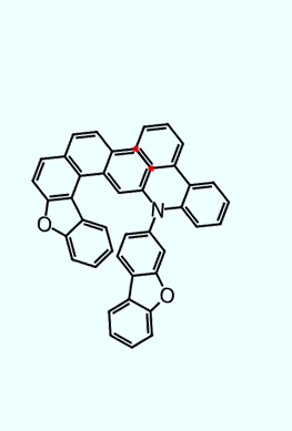 c1ccc(-c2ccccc2N(c2ccc3c(c2)oc2ccccc23)c2ccc3ccc4ccc5oc6ccccc6c5c4c3c2)cc1